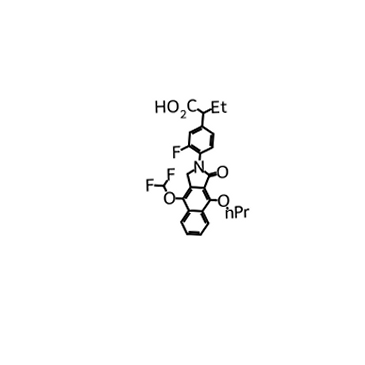 CCCOc1c2c(c(OC(F)F)c3ccccc13)CN(c1ccc(C(CC)C(=O)O)cc1F)C2=O